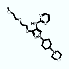 COCCOCCOc1nn(C2CCC(N3CCOCC3)CC2)cc1Nc1ncccn1